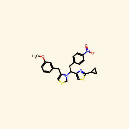 COc1cccc(CC2=CSCN2[C@@H](Cc2ccc([N+](=O)[O-])cc2)c2csc(C3CC3)n2)c1